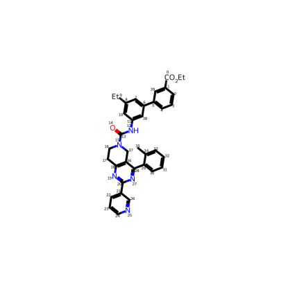 CCOC(=O)c1cccc(-c2cc(CC)cc(NC(=O)N3CCc4nc(-c5cccnc5)nc(-c5ccccc5C)c4C3)c2)c1